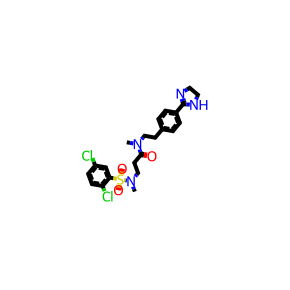 CN(CCc1ccc(C2=NCCN2)cc1)C(=O)CCN(C)S(=O)(=O)c1cc(Cl)ccc1Cl